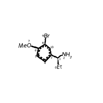 CC[C@H](N)c1ccc(OC)c(Br)c1